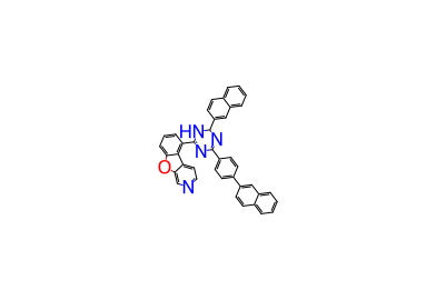 c1ccc2cc(-c3ccc(C4=NC(c5ccc6ccccc6c5)NC(c5cccc6oc7cnccc7c56)=N4)cc3)ccc2c1